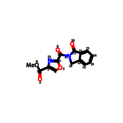 COC(=O)c1coc(C(=O)N2Cc3ccccc3C2=O)n1